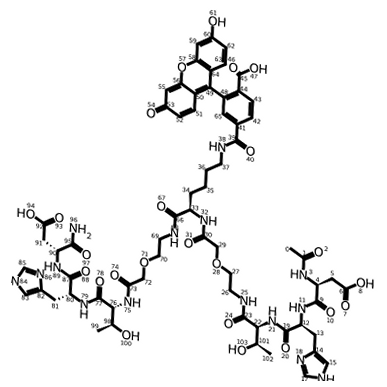 CC(=O)N[C@@H](CC(=O)O)C(=O)N[C@@H](Cc1c[nH]cn1)C(=O)N[C@H](C(=O)NCCOCC(=O)N[C@H](CCCCNC(=O)c1ccc(C(=O)O)c(-c2c3ccc(=O)cc-3oc3cc(O)ccc23)c1)C(=O)NCCOCC(=O)N[C@@H](C(=O)N[C@H](Cc1c[nH]cn1)C(=O)N[C@H](CC(=O)O)C(N)=O)[C@H](C)O)[C@@H](C)O